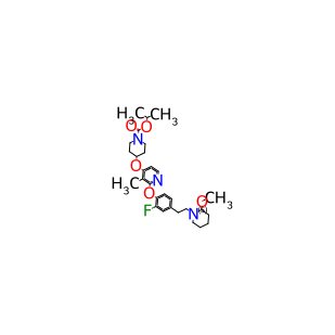 CO[C@H]1CCCCN1CCc1ccc(Oc2nccc(OC3CCN(C(=O)OC(C)C)CC3)c2C)c(F)c1